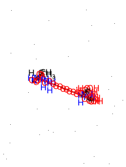 CC(C)(C)OC(=O)CC[C@H](NC(=O)CN1C(=O)C=CC1=O)C(=O)NCC(=O)NCC(=O)NCC(=O)NCCOCCOCCOCCOCCOCCOCCOCCOCCC(=O)N[C@@H](CCC(=O)NC[C@H](O)[C@@H](O)[C@H](O)[C@H](O)CO)C(=O)NC[C@H](O)[C@@H](O)[C@H](O)[C@H](O)CO